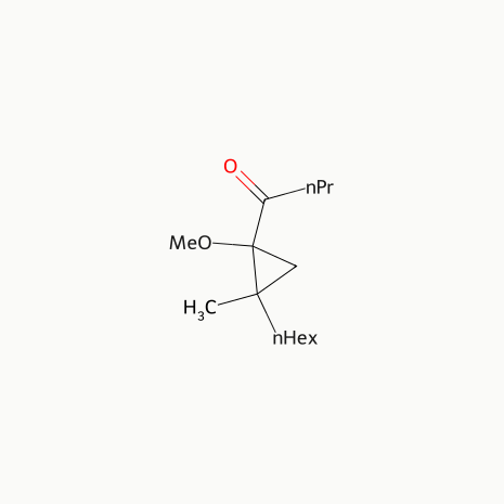 CCCCCCC1(C)CC1(OC)C(=O)CCC